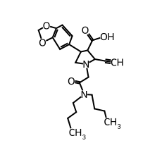 C#CC1C(C(=O)O)C(c2ccc3c(c2)OCO3)CN1CC(=O)N(CCCC)CCCC